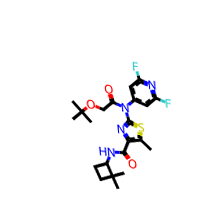 Cc1sc(N(C(=O)COC(C)(C)C)c2cc(F)nc(F)c2)nc1C(=O)NC1CCC1(C)C